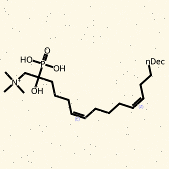 CCCCCCCCCCCC/C=C\CCC/C=C\CCCC(O)(C[N+](C)(C)C)P(=O)(O)O